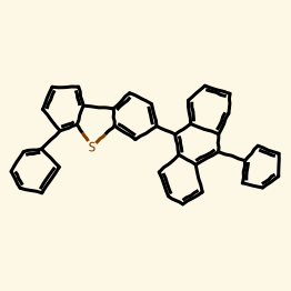 c1ccc(-c2c3ccccc3c(-c3ccc4c(c3)sc3c(-c5ccccc5)cccc34)c3ccccc23)cc1